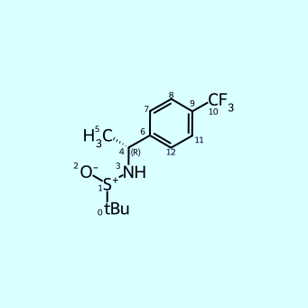 [CH2]C(C)(C)[S+]([O-])N[C@H](C)c1ccc(C(F)(F)F)cc1